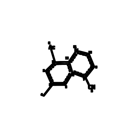 CC(=O)c1cc(C)cc2c(C#N)ccnc12